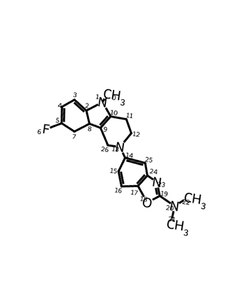 CN1C2=CC=C(F)CC2C2=C1CCN(c1ccc3oc(N(C)C)nc3c1)C2